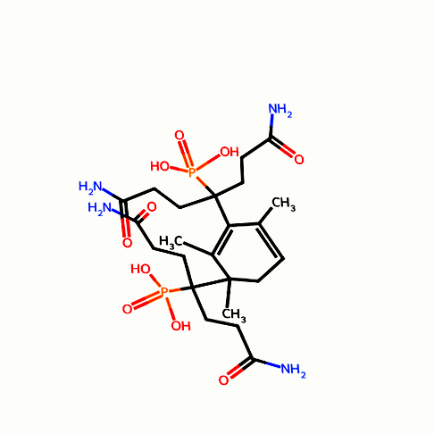 CC1=CCC(C)(C(CCC(N)=O)(CCC(N)=O)P(=O)(O)O)C(C)=C1C(CCC(N)=O)(CCC(N)=O)P(=O)(O)O